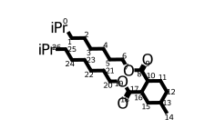 CC(C)CCCCCCOC(=O)C1CCC(C)CC1C(=O)OCCCCCCC(C)C